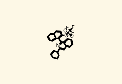 O=S(=O)(Oc1ccc2ccccc2c1-c1nc(C2C=CCCC2)cc2ccccc12)C(F)(F)F